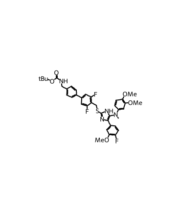 COc1cc(-c2nc(SCc3c(F)cc(-c4ccc(CNC(=O)OC(C)(C)C)cc4)cc3F)[nH]c2N(C)c2ccc(OC)c(OC)c2)ccc1F